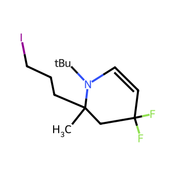 CC(C)(C)N1C=CC(F)(F)CC1(C)CCCI